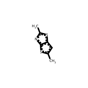 Cc1cc2sc(C)nc2s1